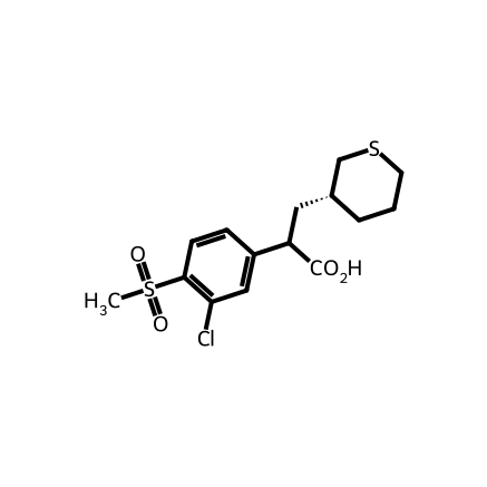 CS(=O)(=O)c1ccc(C(C[C@H]2CCCSC2)C(=O)O)cc1Cl